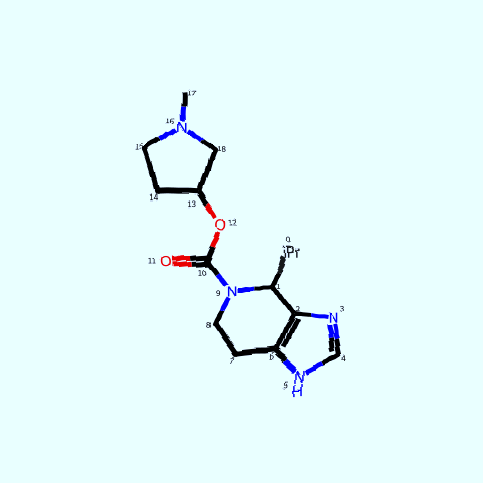 CC(C)C1c2nc[nH]c2CCN1C(=O)OC1CCN(C)C1